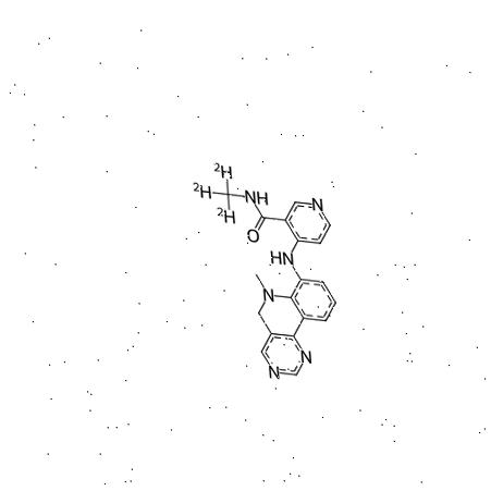 [2H]C([2H])([2H])NC(=O)c1cnccc1Nc1cccc2c1N(C)Cc1cncnc1-2